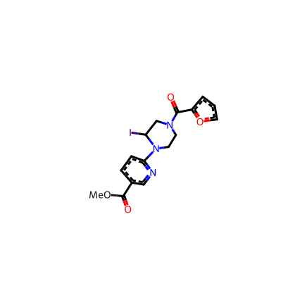 COC(=O)c1ccc(N2CCN(C(=O)c3ccco3)CC2I)nc1